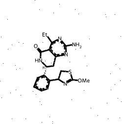 CCc1nc(N)nc2c1C(=O)N[C@@H](c1ccccc1C1CSC(OC)=N1)C2